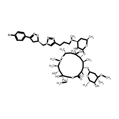 CC[C@H]1OC(=O)[C@H](C)[C@@H](O[C@H]2C[C@@](C)(OC)[C@@H](O)[C@H](C)O2)[C@H](C)[C@@H](O[C@@H]2O[C@H](C)C[C@H](N(C)CCCc3cn(C[C@H]4CC(c5ccc(Br)cc5)=NO4)nn3)[C@H]2O)[C@](C)(O)C[C@@H](C)CN(C)[C@H](C)[C@@H](O)[C@]1(C)O